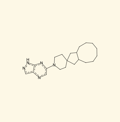 c1nc2cn[nH]c2nc1N1CCC2(CC1)CC1CCCCCCCC1C2